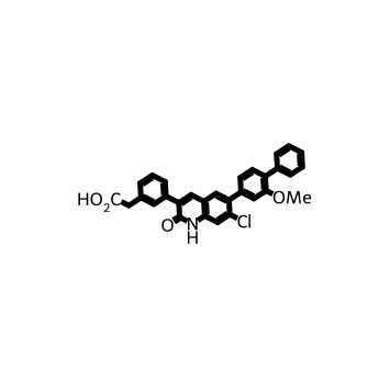 COc1cc(-c2cc3cc(-c4cccc(CC(=O)O)c4)c(=O)[nH]c3cc2Cl)ccc1-c1ccccc1